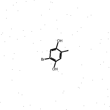 Cc1cc(O)c(Br)cc1O